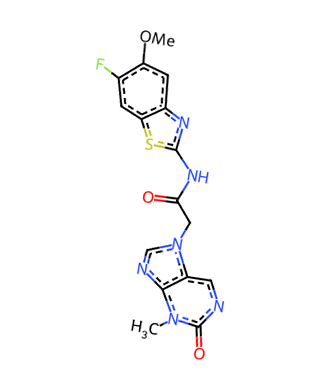 COc1cc2nc(NC(=O)Cn3cnc4c3cnc(=O)n4C)sc2cc1F